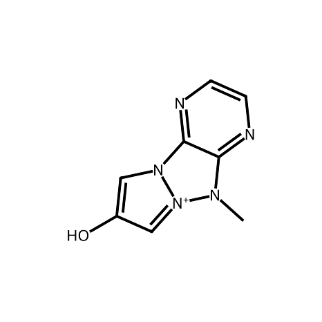 Cn1c2nccnc2n2cc(O)c[n+]12